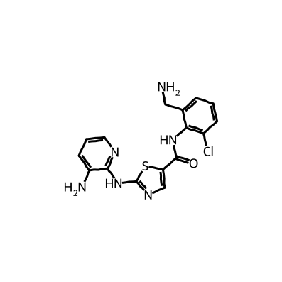 NCc1cccc(Cl)c1NC(=O)c1cnc(Nc2ncccc2N)s1